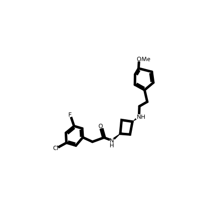 COc1ccc(CCN[C@H]2C[C@H](NC(=O)Cc3cc(F)cc(Cl)c3)C2)cc1